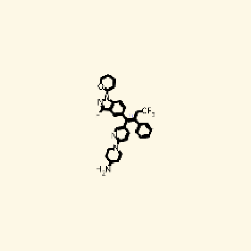 NC1CCN(c2ccc(/C(=C(/CC(F)(F)F)c3ccccc3)c3ccc4c(c3)c(F)nn4C3CCCCO3)cn2)CC1